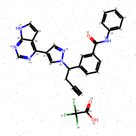 C#CCC(c1cccc(C(=O)Nc2ccccc2)c1)n1cc(-c2ncnc3[nH]ccc23)cn1.O=C(O)C(F)(F)F